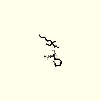 CCCCCC(C)(CC)C(=O)O/N=C(\N)c1ccccn1